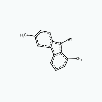 Cc1ccc2c(c1)c1cccc(C)c1n2C(C)C